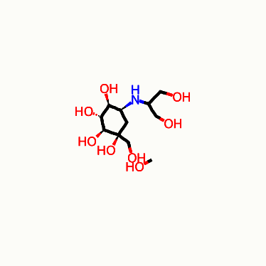 CO.OCC(CO)N[C@H]1C[C@](O)(CO)[C@@H](O)[C@H](O)[C@H]1O